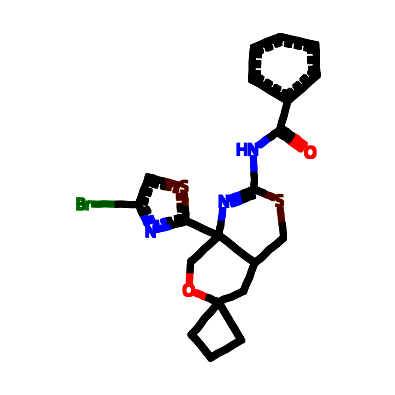 O=C(NC1=NC2(c3nc(Br)cs3)COC3(CCC3)CC2CS1)c1ccccc1